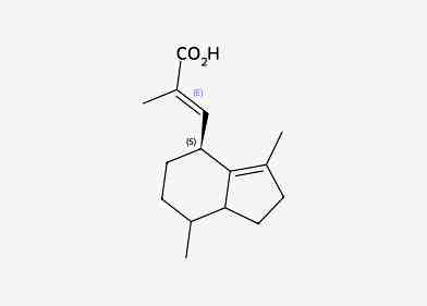 CC1=C2C(CC1)C(C)CC[C@H]2/C=C(\C)C(=O)O